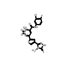 CN1C(C(=O)Nc2ccc(F)c(Cl)c2)=CC(c2cc(-c3n[nH]c(=S)n3C)cs2)=NS1(=O)=O